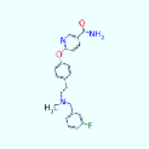 CN(CCc1ccc(Oc2ccc(C(N)=O)cn2)cc1)Cc1cccc(F)c1